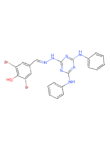 Oc1c(Br)cc(/C=N/Nc2nc(Nc3ccccc3)nc(Nc3ccccc3)n2)cc1Br